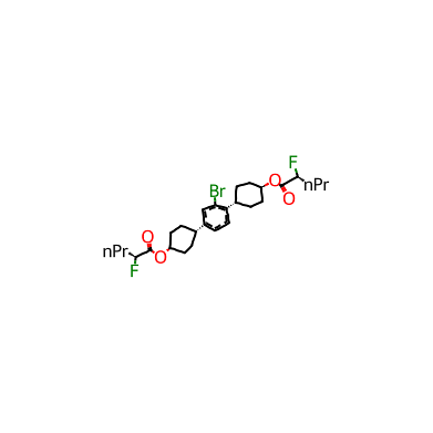 CCC[C@H](F)C(=O)O[C@H]1CC[C@H](c2ccc([C@H]3CC[C@H](OC(=O)[C@@H](F)CCC)CC3)c(Br)c2)CC1